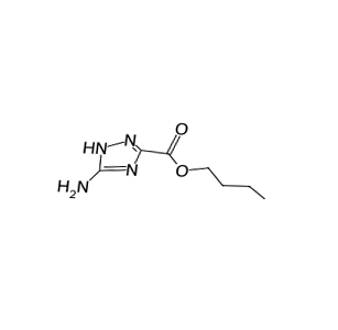 CCCCOC(=O)c1n[nH]c(N)n1